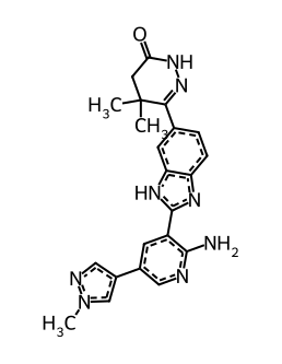 Cn1cc(-c2cnc(N)c(-c3nc4ccc(C5=NNC(=O)CC5(C)C)cc4[nH]3)c2)cn1